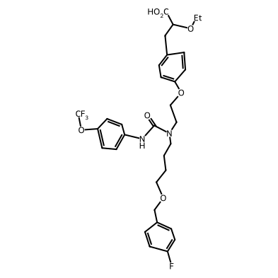 CCOC(Cc1ccc(OCCN(CCCCOCc2ccc(F)cc2)C(=O)Nc2ccc(OC(F)(F)F)cc2)cc1)C(=O)O